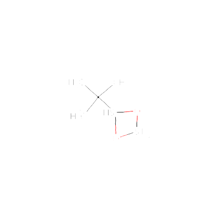 CC(C)(C)[SiH]1O[SiH2]O1